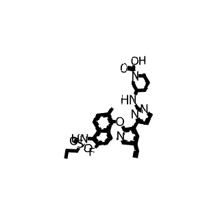 C=Cc1cnc(Oc2c(C)ccc3c(NS(=O)(=O)CCC)c(F)ccc23)c(-c2ccnc(NC3CCCN(C(=O)O)C3)n2)c1